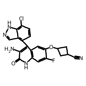 N#CC1CC(Oc2cc3c(-c4ccc(Cl)c5[nH]ncc45)c(N)c(=O)[nH]c3cc2F)C1